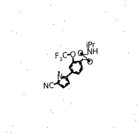 CC(C)NS(=O)(=O)c1ccc(-c2ccc(C#N)n2C)cc1OC(F)(F)F